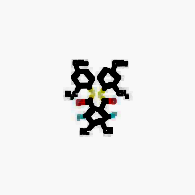 COc1ccc(SC(=O)c2c(F)c(C#N)c(C#N)c(F)c2C(=O)Sc2ccc(OC)cc2C)c(C)c1